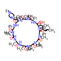 C/C=C/C[C@@H](C)[C@@H](O)[C@H]1C(=O)N[C@@H](CC)C(=O)N(C)[C@H](C)C(=O)N(C)[C@@H]([C@H](C)CN2CCN(CC)CC2)C(=O)N[C@@H](C(C)C)C(=O)N(C)[C@@H](CC(C)C)C(=O)N[C@@H](C)C(=O)N[C@H](C)C(=O)N(C)[C@@H](CC(C)C)C(=O)N(C)[C@@H](CC(C)C)C(=O)N(C)[C@@H](C(C)C)C(=O)N1C